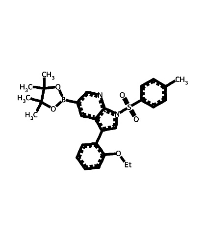 CCOc1ccccc1-c1cn(S(=O)(=O)c2ccc(C)cc2)c2ncc(B3OC(C)(C)C(C)(C)O3)cc12